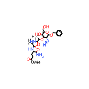 COC(=O)CCC(NC(=O)C(C)NC(=O)C(C)O[C@H]1[C@H](O)[C@@H](CO)O[C@H](OCc2ccccc2)[C@@H]1N=[N+]=[N-])C(N)=O